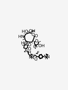 CC[C@H]1OC(=O)[C@H](C)[C@@H](C2C[C@@](C)(OC)[C@@H](O)[C@H](C)O2)[C@H](C)[C@@H](O[C@@H]2O[C@H](C)C[C@H](N(C)CCc3cn([C@H](CF)[C@H](OC)c4ccc(-n5ccnn5)cc4)nn3)[C@H]2O)[C@](C)(O)C[C@@H](C)C(=N)[C@H](C)[C@@H](O)[C@]1(C)O